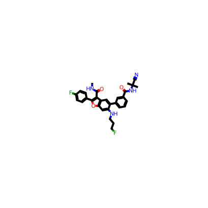 CNC(=O)c1c(-c2ccc(F)cc2)oc2cc(NCCCF)c(-c3cccc(C(=O)NC(C)(C)C#N)c3)cc12